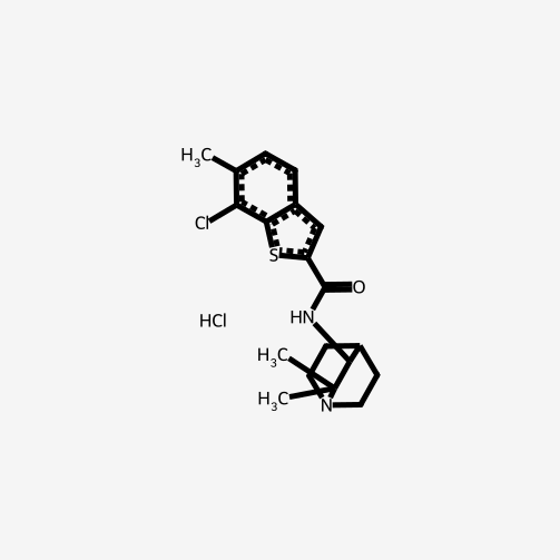 Cc1ccc2cc(C(=O)NC3C4CCN(CC4)C3(C)C)sc2c1Cl.Cl